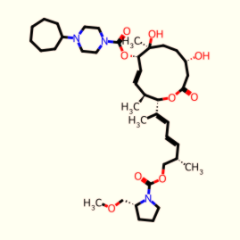 COC[C@H]1CCCN1C(=O)OC[C@@H](C)/C=C/C=C(\C)[C@H]1OC(=O)C[C@@H](O)CC[C@](C)(O)[C@@H](OC(=O)N2CCN(C3CCCCCC3)CC2)/C=C/[C@@H]1C